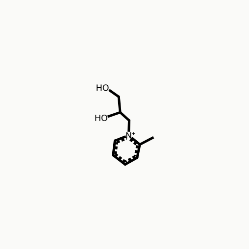 Cc1cccc[n+]1CC(O)CO